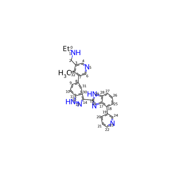 CCNCc1cncc(-c2ccc3[nH]nc(-c4nc5c(-c6cccnc6)cccc5[nH]4)c3c2)c1C